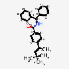 C/C(=C\C(C)(C)C)c1ccc(C(=O)NC(c2ccccc2)c2ccccc2)cc1